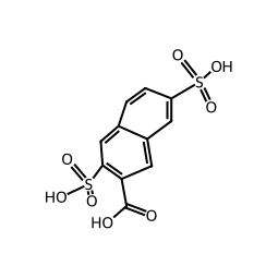 O=C(O)c1cc2cc(S(=O)(=O)O)ccc2cc1S(=O)(=O)O